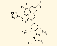 CC[C@@H]1C[C@H](N(Cc2cc(C(F)(F)F)cc(C(F)(F)F)c2)c2ncc(C3C=NNC3)cn2)C[C@H](CC)N1C(=O)OC(C)C